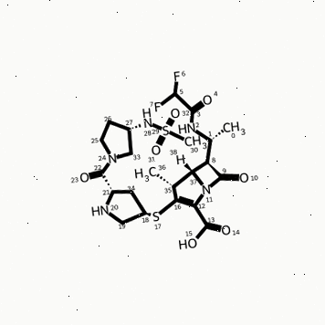 C[C@@H](NC(=O)C(F)F)[C@H]1C(=O)N2C(C(=O)O)=C(S[C@@H]3CN[C@H](C(=O)N4CC[C@H](NS(C)(=O)=O)C4)C3)[C@H](C)[C@H]12